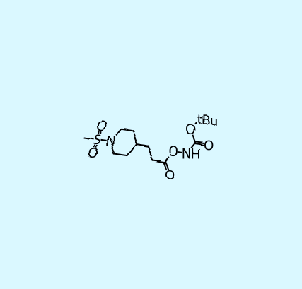 CC(C)(C)OC(=O)NOC(=O)CCC1CCN(S(C)(=O)=O)CC1